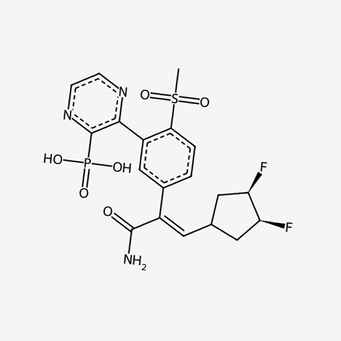 CS(=O)(=O)c1ccc(/C(=C\C2C[C@@H](F)[C@@H](F)C2)C(N)=O)cc1-c1nccnc1P(=O)(O)O